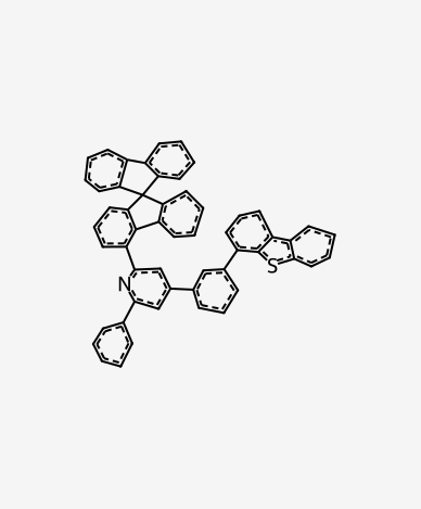 c1ccc(-c2cc(-c3cccc(-c4cccc5c4sc4ccccc45)c3)cc(-c3cccc4c3-c3ccccc3C43c4ccccc4-c4ccccc43)n2)cc1